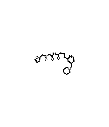 O=C(/C=C\Cc1cc(CN2CCCCC2)ccn1)NC(=O)C[S+]([O-])Cc1ccco1